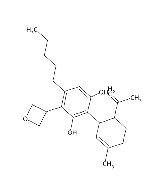 C=C(C)C1CCC(C)=CC1c1c(O)cc(CCCCC)c(C2COC2)c1O